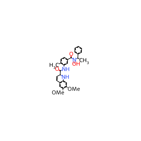 COc1cc2c(cc1OC)NC(C(=O)Nc1cc(C(=O)N(O)C(C)c3ccccc3)ccc1C)C=C2